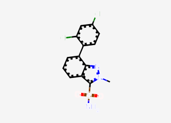 Cn1nc2c(-c3ccc(Cl)cc3Cl)cccc2c1S(N)(=O)=O